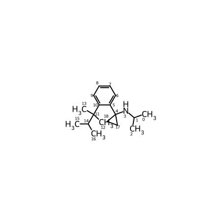 CC(C)NC1(c2ccccc2C(C)(C)C(C)C)CC1